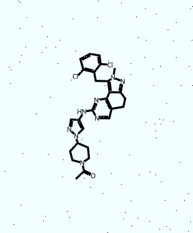 CC(=O)N1CCC(n2cc(Nc3ncc4c(n3)-c3c(nn(C)c3Cc3c(Cl)cccc3Cl)CC4)cn2)CC1